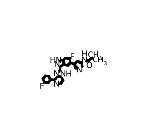 CC(C)C(=O)Nc1cncc(-c2cc3c(-c4nc5c(-c6cccc(F)c6)nccc5[nH]4)n[nH]c3cc2F)c1